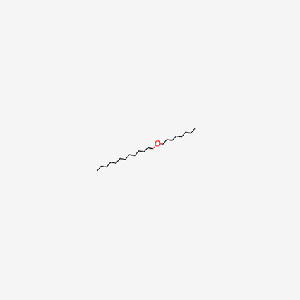 CCCCCCCCCCCC=COCCCCCCCC